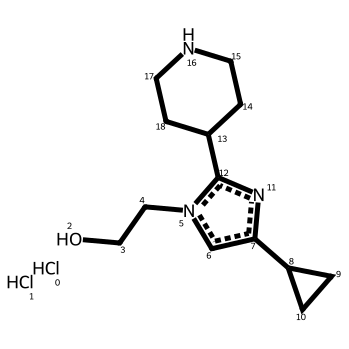 Cl.Cl.OCCn1cc(C2CC2)nc1C1CCNCC1